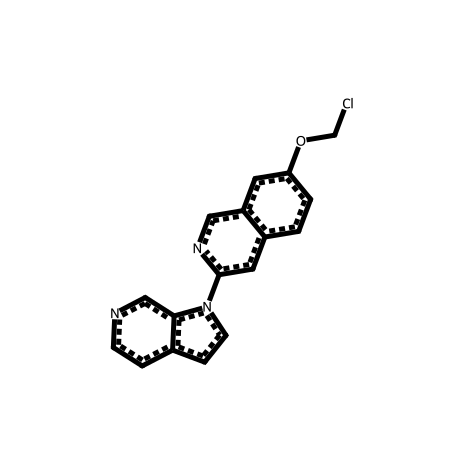 ClCOc1ccc2cc(-n3ccc4ccncc43)ncc2c1